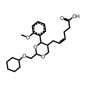 COc1ccccc1C1OC(COC2CCCCC2)OCC1C/C=C\CCC(=O)O